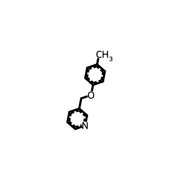 Cc1ccc(OCc2cccnc2)cc1